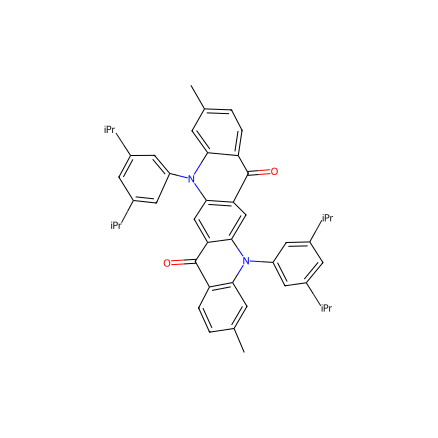 Cc1ccc2c(=O)c3cc4c(cc3n(-c3cc(C(C)C)cc(C(C)C)c3)c2c1)c(=O)c1ccc(C)cc1n4-c1cc(C(C)C)cc(C(C)C)c1